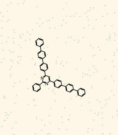 c1ccc(-c2ccc(-c3ccc(-c4cc(-c5ccc(-c6ccc(-c7ccccc7)cc6)cc5)nc(-c5ccccc5)n4)cc3)cc2)cc1